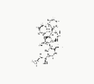 Cc1ccc(C(=O)NC2CC2)cc1-n1c(C)nc2c1N=CNC2(c1ccccc1)c1ccccc1